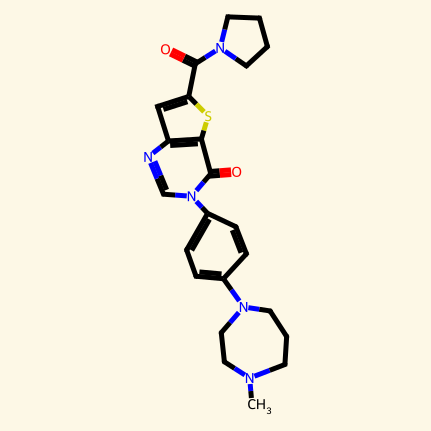 CN1CCCN(c2ccc(-n3cnc4cc(C(=O)N5CCCC5)sc4c3=O)cc2)CC1